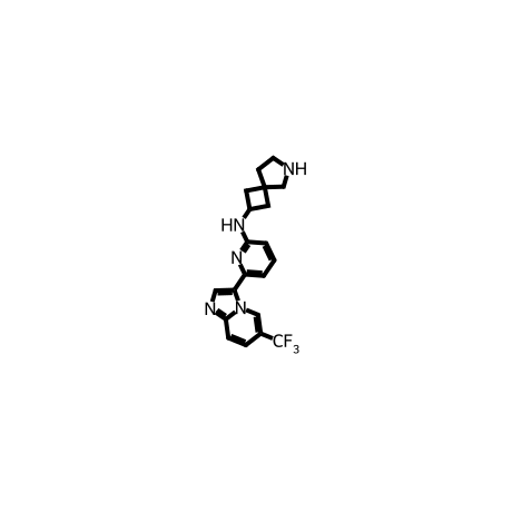 FC(F)(F)c1ccc2ncc(-c3cccc(NC4CC5(CCNC5)C4)n3)n2c1